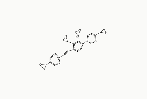 C(#Cc1ccc(-c2ccc(C3CO3)cc2)c([C@@H]2CO2)c1C1CO1)c1ccc(C2CO2)cc1